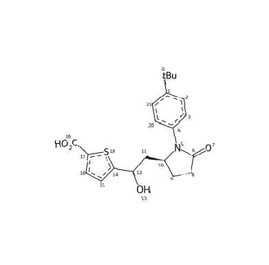 CC(C)(C)c1ccc(N2C(=O)CC[C@H]2CC(O)c2ccc(C(=O)O)s2)cc1